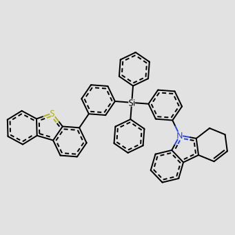 C1=Cc2c(n(-c3cccc([Si](c4ccccc4)(c4ccccc4)c4cccc(-c5cccc6c5sc5ccccc56)c4)c3)c3ccccc23)CC1